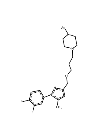 CC(=O)N1CCN(CCCOCc2cc(C)n(-c3ccc(F)c(F)c3)n2)CC1